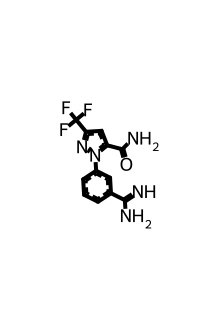 N=C(N)c1cccc(-n2nc(C(F)(F)F)cc2C(N)=O)c1